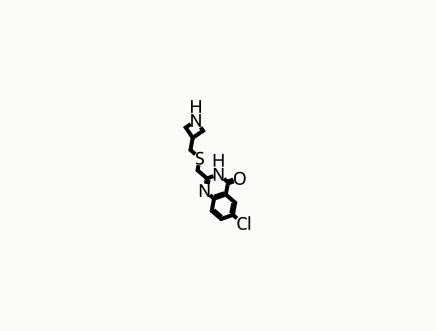 O=c1[nH]c(CSCC2CNC2)nc2ccc(Cl)cc12